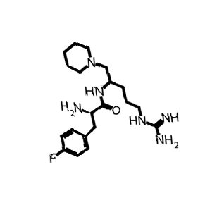 N=C(N)NCCCC(CN1CCCCC1)NC(=O)[C@H](N)Cc1ccc(F)cc1